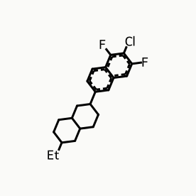 CCC1CCC2CC(c3ccc4c(F)c(Cl)c(F)cc4c3)CCC2C1